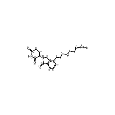 [N-]=[N+]=NCCOCCCc1cccc2c1CN(C1CCC(=O)NC1=O)C2=O